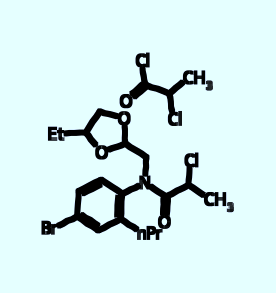 CC(Cl)C(=O)Cl.CCCc1cc(Br)ccc1N(CC1OCC(CC)O1)C(=O)C(C)Cl